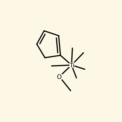 C[O][Ti]([CH3])([CH3])([CH3])([CH3])([CH3])[C]1=CC=CC1